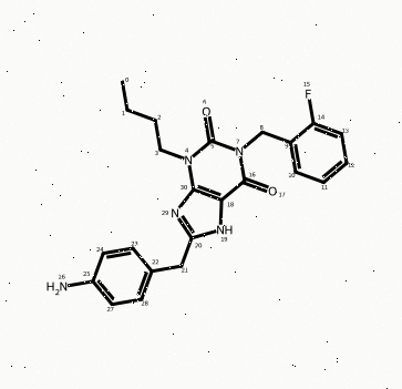 CCCCn1c(=O)n(Cc2ccccc2F)c(=O)c2[nH]c(Cc3ccc(N)cc3)nc21